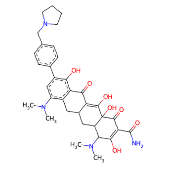 CN(C)c1cc(-c2ccc(CN3CCCC3)cc2)c(O)c2c1CC1CC3C(N(C)C)C(O)=C(C(N)=O)C(=O)C3(O)C(O)=C1C2=O